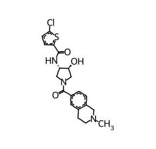 CN1CCc2cc(C(=O)N3C[C@H](NC(=O)c4ccc(Cl)s4)[C@@H](O)C3)ccc2C1